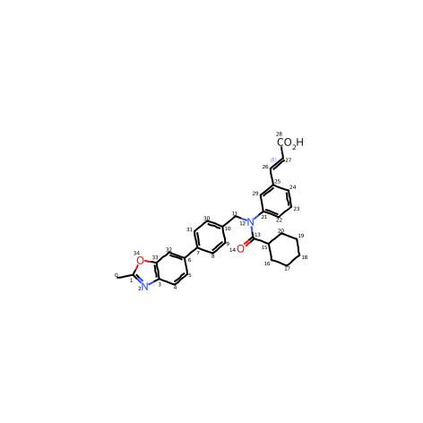 Cc1nc2ccc(-c3ccc(CN(C(=O)C4CCCCC4)c4cccc(/C=C/C(=O)O)c4)cc3)cc2o1